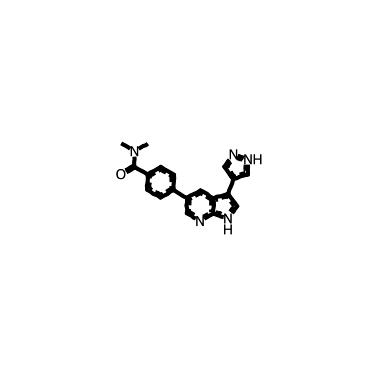 CN(C)C(=O)c1ccc(-c2cnc3[nH]cc(-c4cn[nH]c4)c3c2)cc1